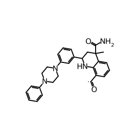 CC1(C(N)=O)CC(c2cccc(N3CCN(c4ccccc4)CC3)c2)Nc2c([C]=O)cccc21